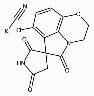 N#[C][K].O=C1CC2(C(=O)N1)C(=O)N1CCOc3ccc(Cl)c2c31